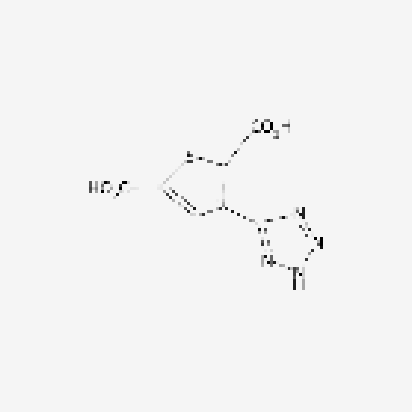 O=C(O)c1cc(-c2nn[nH]n2)c(C(=O)O)s1